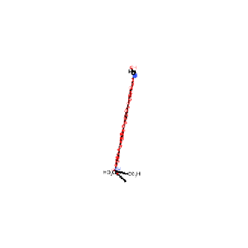 C=CCCCCCCCCCC(CCCCCCCCCCC(=O)O)(C(=O)O)C(=O)NCCOCCOCCOCCOCCOCCOCCOCCOCCOCCOCCOCCOCCOCCOCCOCCOCCOCCOCCOCCOCCOCCOCCOCCn1nnc2c1CC[C@H]1C(CC2)[C@H]1CO